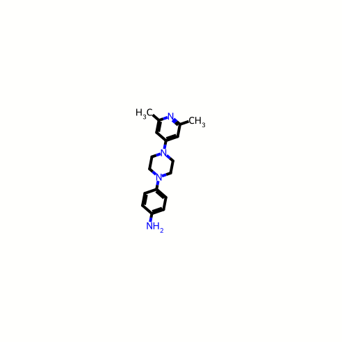 Cc1cc(N2CCN(c3ccc(N)cc3)CC2)cc(C)n1